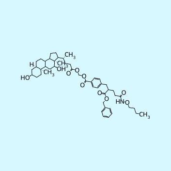 CCCCONC(=O)CCC(Cc1ccc(C(=O)OCOC(=O)CC[C@@H](C)C2CCC3C4CC[C@@H]5C[C@H](O)CC[C@]5(C)C4C[C@H](O)[C@@]32C)cc1)C(=O)OCc1ccccc1